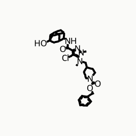 CN(CC1CCN(C(=O)OCc2ccccc2)CC1)c1c(Cl)c(C(=O)NC2C3CC4CC2CC(O)(C4)C3)nn1C